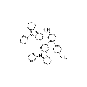 Nc1ccc(-c2ccc(N)c(-c3ccc4c(c3)c3ccccc3n4-c3ccccc3)c2-c2ccc3c(c2)c2ccccc2n3-c2ccccc2)cc1